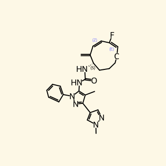 C=C1/C=C\C(F)=C/CCCC[C@@H]1NC(=O)Nc1c(C)c(-c2cnn(C)c2)nn1-c1ccccc1